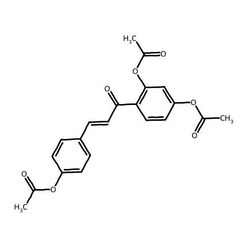 CC(=O)Oc1ccc(/C=C/C(=O)c2ccc(OC(C)=O)cc2OC(C)=O)cc1